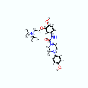 COc1ccc(N2CCN(C(=O)Nc3ccc(OC)c(OCCN(C(C)C)C(C)C)c3)CC2C)cc1